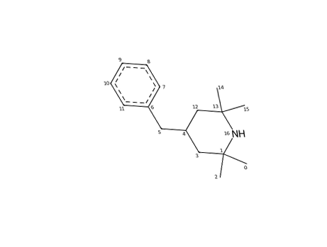 CC1(C)CC(Cc2ccccc2)CC(C)(C)N1